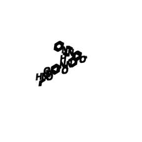 CCCNS(=O)(=O)c1ccc(NC(=O)N2CCc3c(OC)ccc(N4CCN(C5CCCCC5)CC4)c3C2)cc1